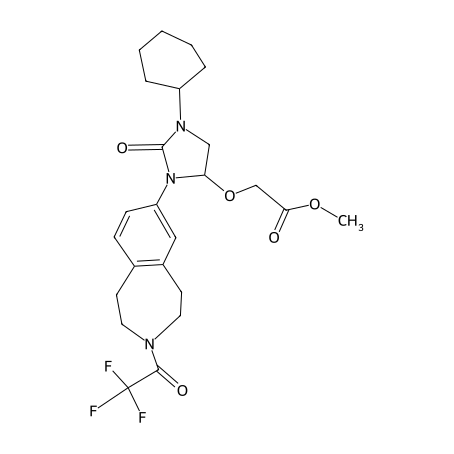 COC(=O)COC1CN(C2CCCCC2)C(=O)N1c1ccc2c(c1)CCN(C(=O)C(F)(F)F)CC2